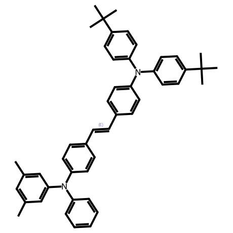 Cc1cc(C)cc(N(c2ccccc2)c2ccc(/C=C/c3ccc(N(c4ccc(C(C)(C)C)cc4)c4ccc(C(C)(C)C)cc4)cc3)cc2)c1